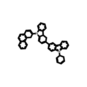 C1=Cc2ccc3ccccc3c2CC=1N1C2=CC=C(c3ccc4c(c3)c3ccccc3n4C3C=CC=CC3)CC2c2ccccc21